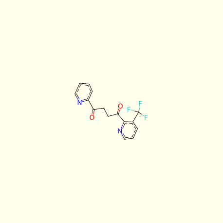 O=C(CCC(=O)c1ncccc1C(F)(F)F)c1ccccn1